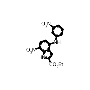 CCOC(=O)c1cc2c(Nc3cccc([N+](=O)[O-])c3)ccc([N+](=O)[O-])c2[nH]1